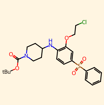 CC(C)(C)OC(=O)N1CCC(Nc2ccc(S(=O)(=O)c3ccccc3)cc2OCCCl)CC1